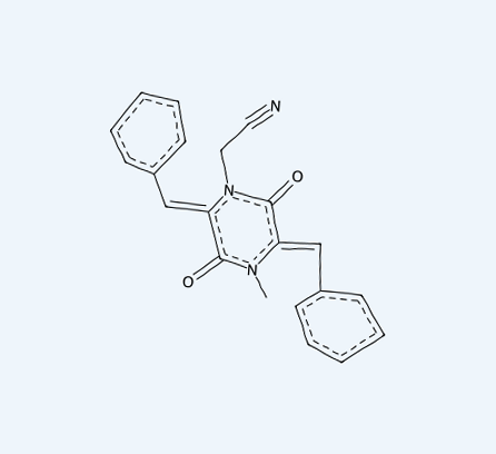 Cn1c(=O)c(=Cc2ccccc2)n(CC#N)c(=O)c1=Cc1ccccc1